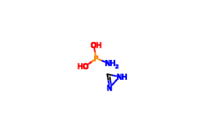 C1=NN1.NP(O)O